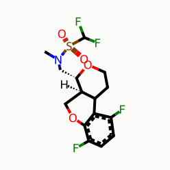 CN(C[C@@H]1OCCC2c3c(F)ccc(F)c3OC[C@H]21)S(=O)(=O)C(F)F